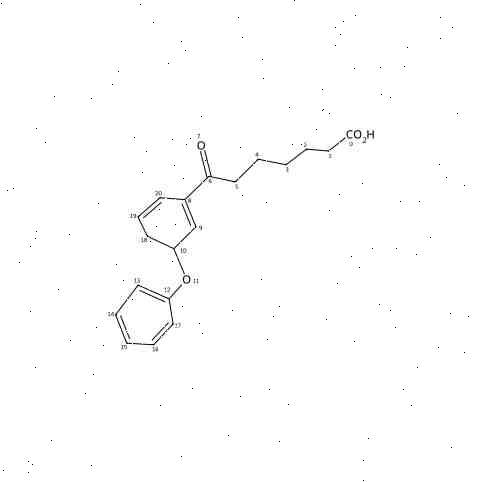 O=C(O)CCCCCC(=O)C1=CC(Oc2ccccc2)CC=C1